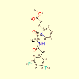 COC(=O)CCC1=CC=CCN1C(=O)[C@H](C)NC(=O)Cc1cc(F)cc(F)c1